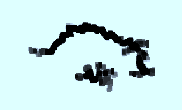 CCCCCCCC/C=C\CCCCCCCCC(O)(O)NCC(=O)O.C[N+](C)(C)CC(=O)[O-]